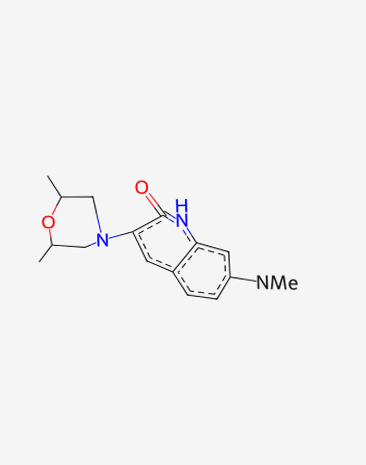 CNc1ccc2cc(N3CC(C)OC(C)C3)c(=O)[nH]c2c1